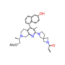 C=CC(=O)N1CC2(CCN(c3nc4c(c(-c5cccc6cc(O)ccc56)c3C)CCN([C@H](C)COC)C4)C2)C1